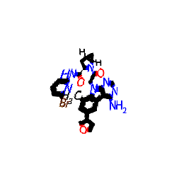 Cc1cc(-c2ccoc2)cc2c3c(N)ncnc3n(CC(=O)N3[C@@H]4C[C@@H]4C[C@H]3C(=O)Nc3cccc(Br)n3)c12